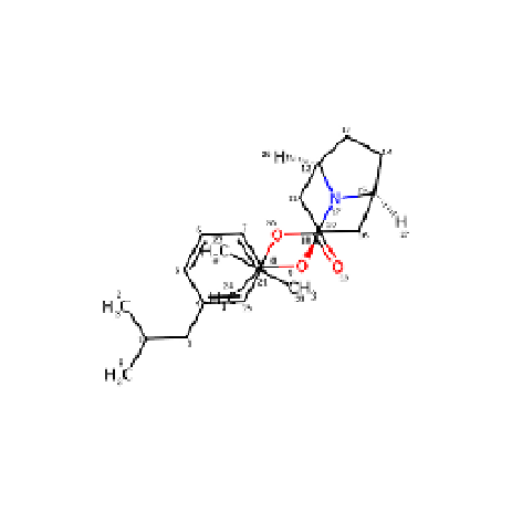 CC(C)Cc1cccc(O[C@H]2C[C@H]3CC[C@@H](C2)N3C(=O)OC(C)(C)C)c1